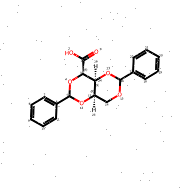 O=C(O)[C@@H]1OC(c2ccccc2)O[C@@H]2COC(c3ccccc3)O[C@@H]21